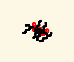 CCCCC(CC)C(=O)[O][Sn]([CH2]CCC)([CH2]CCC)[O][Sn]([CH2]CCC)([CH2]CCC)[O]C(=O)C(CC)CCCC